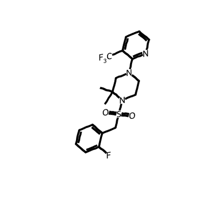 CC1(C)CN(c2ncccc2C(F)(F)F)CCN1S(=O)(=O)Cc1ccccc1F